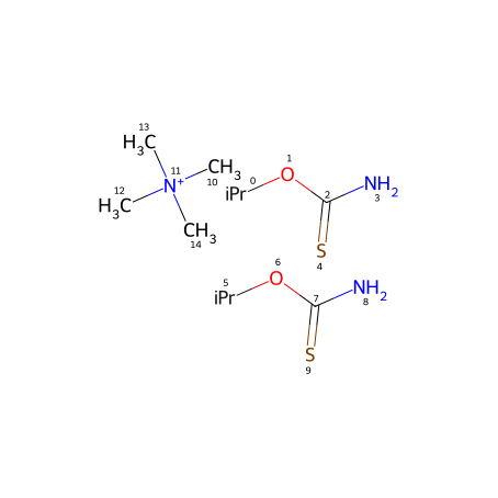 CC(C)OC(N)=S.CC(C)OC(N)=S.C[N+](C)(C)C